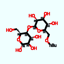 CCCCOC[C@H]1O[C@@H](O[C@H]2[C@H](O)[C@@H](O)[C@H](O)O[C@@H]2CO)[C@H](O)[C@@H](O)[C@@H]1O